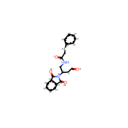 O=CCC(CNC(=O)CCc1ccccc1)N1C(=O)c2ccccc2C1=O